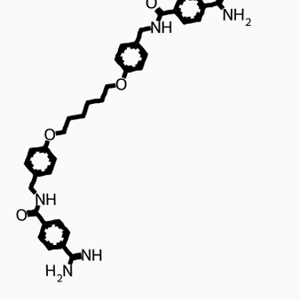 N=C(N)c1ccc(C(=O)NCc2ccc(OCCCCCCOc3ccc(CNC(=O)c4ccc(C(=N)N)cc4)cc3)cc2)cc1